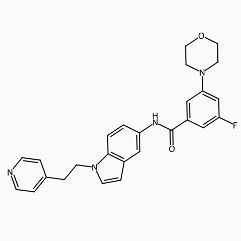 O=C(Nc1ccc2c(ccn2CCc2ccncc2)c1)c1cc(F)cc(N2CCOCC2)c1